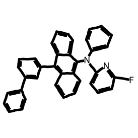 Fc1cccc(N(c2ccccc2)c2c3ccccc3c(-c3cccc(-c4ccccc4)c3)c3ccccc23)n1